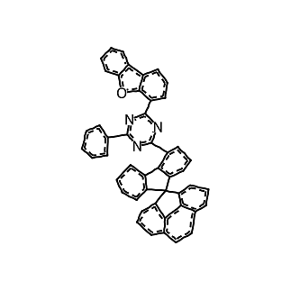 c1ccc(-c2nc(-c3cccc4c3-c3ccccc3C43c4cccc5ccc6cccc3c6c45)nc(-c3cccc4c3oc3ccccc34)n2)cc1